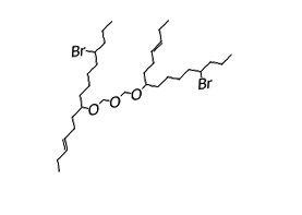 CCC=CCCC(CCCCC(Br)CCC)OCOCOC(CCC=CCC)CCCCC(Br)CCC